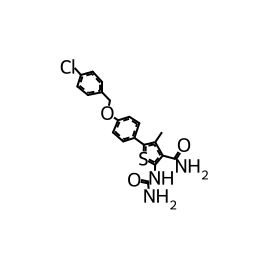 Cc1c(-c2ccc(OCc3ccc(Cl)cc3)cc2)sc(NC(N)=O)c1C(N)=O